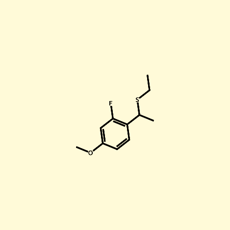 CCSC(C)c1ccc(OC)cc1F